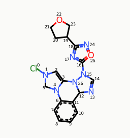 ClN1C=C2N(C1)c1ccccc1C1N=CN(c3nc(C4CCOC4)no3)N21